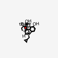 COC12CC[C@@]3(C[C@@H]1[C@](C)(O)C(C)(C)C)[C@H]1Cc4ccc(O)c5c4[C@@]3(CCN1CC1CC1)[C@H]2O5